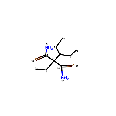 CCC(CC)C(CC)(C(N)=S)C(N)=S